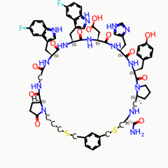 C[C@@]12CCCN1C(=O)[C@H](Cc1ccc(O)cc1)NC(=O)[C@H](Cc1c[nH]cn1)NC(=O)[C@H](CC(=O)O)NC(=O)[C@H](Cc1c[nH]c3ccc(F)cc13)NC(=O)[C@H](Cc1c[nH]c3ccc(F)cc13)NC(=O)CNC(=O)[C@@H]1CCC(=O)N1CCCSCc1cccc(c1)CSC[C@@H](C(N)=O)NC2